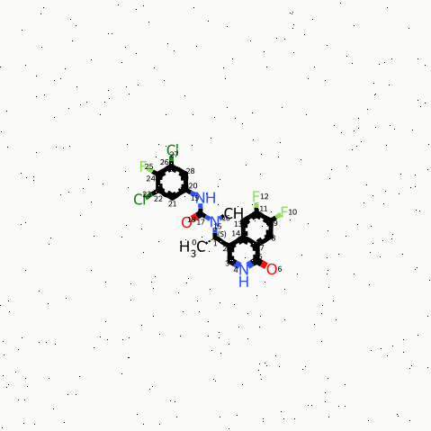 C[C@@H](c1c[nH]c(=O)c2cc(F)c(F)cc12)N(C)C(=O)Nc1cc(Cl)c(F)c(Cl)c1